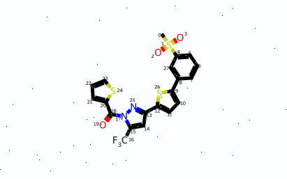 CS(=O)(=O)c1cccc(-c2ccc(-c3cc(C(F)(F)F)n(C(=O)c4cccs4)n3)s2)c1